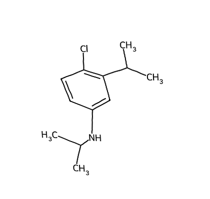 CC(C)Nc1ccc(Cl)c(C(C)C)c1